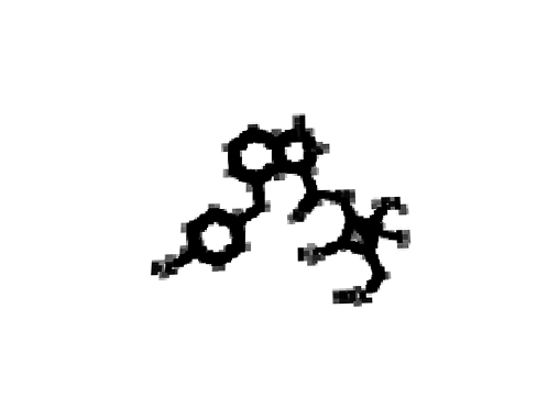 CC1C2(CC(=O)O)CC1(NC(=O)c1n[nH]c3cccc(Cc4ccc(C(F)(F)F)cc4)c13)[C@H]2C